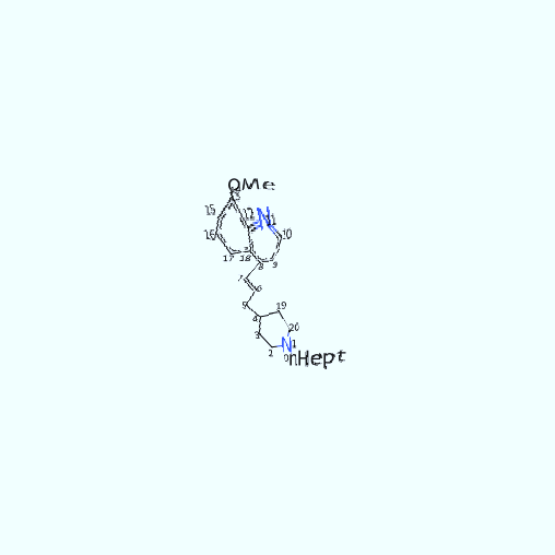 CCCCCCCN1CCC(CC=Cc2ccnc3c(OC)cccc23)CC1